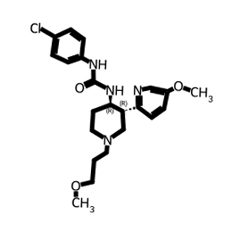 COCCCN1CC[C@@H](NC(=O)Nc2ccc(Cl)cc2)[C@H](c2ccc(OC)cn2)C1